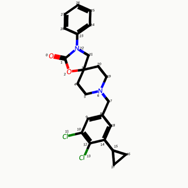 O=C1OC2(CCN(Cc3cc(Cl)c(Cl)c(C4CC4)c3)CC2)CN1c1ccccc1